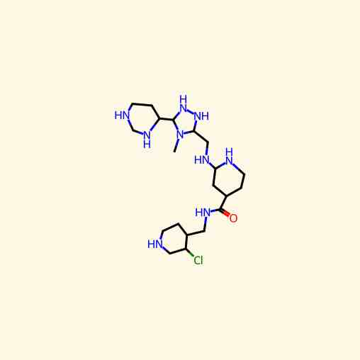 CN1C(CNC2CC(C(=O)NCC3CCNCC3Cl)CCN2)NNC1C1CCNCN1